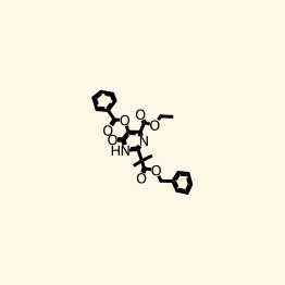 CCOC(=O)c1nc(C(C)(C)C(=O)OCc2ccccc2)[nH]c(=O)c1OC(=O)c1ccccc1